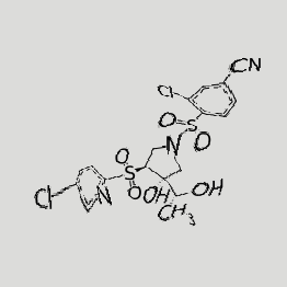 C[C@@H](O)[C@]1(O)CN(S(=O)(=O)c2ccc(C#N)cc2Cl)C[C@@H]1S(=O)(=O)c1ccc(Cl)cn1